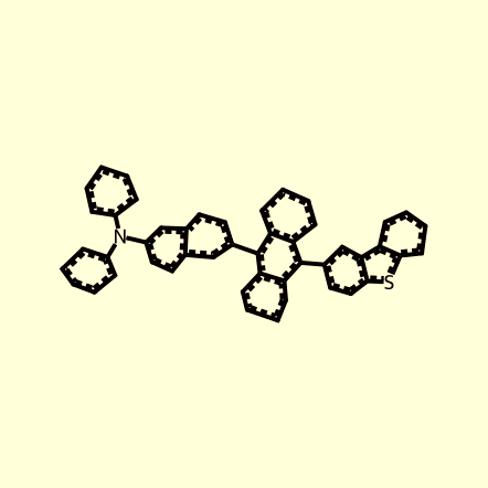 c1ccc(N(c2ccccc2)c2ccc3cc(-c4c5ccccc5c(-c5ccc6sc7ccccc7c6c5)c5ccccc45)ccc3c2)cc1